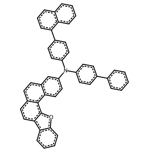 c1ccc(-c2ccc(N(c3ccc(-c4cccc5ccccc45)cc3)c3ccc4c(ccc5ccc6c7ccccc7oc6c54)c3)cc2)cc1